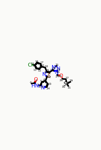 CC(=O)Nc1cc(-c2nc(Cc3ccc(Cl)cc3)c(-c3ncnn3COCC[Si](C)(C)C)s2)ccn1